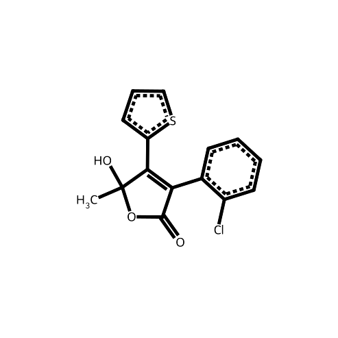 CC1(O)OC(=O)C(c2ccccc2Cl)=C1c1cccs1